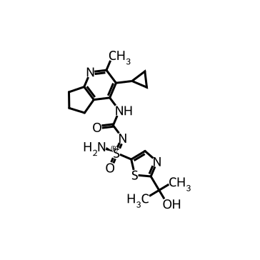 Cc1nc2c(c(NC(=O)N=[S@@](N)(=O)c3cnc(C(C)(C)O)s3)c1C1CC1)CCC2